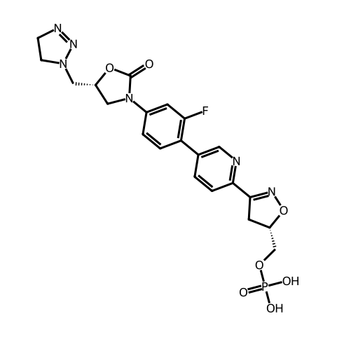 O=C1O[C@@H](CN2CCN=N2)CN1c1ccc(-c2ccc(C3=NO[C@H](COP(=O)(O)O)C3)nc2)c(F)c1